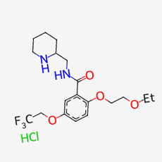 CCOCCOc1ccc(OCC(F)(F)F)cc1C(=O)NCC1CCCCN1.Cl